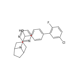 OC(c1ccc(-c2cc(Cl)ccc2F)cc1)C1CC2CCC(C1)N2c1ncccn1